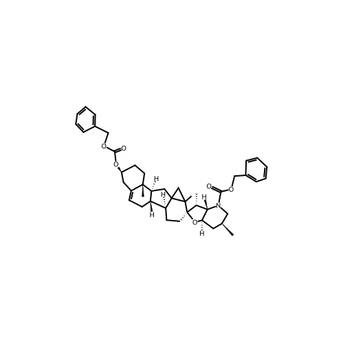 C[C@H]1C[C@H]2O[C@]3(CC[C@H]4[C@@H]5CC=C6C[C@@H](OC(=O)OCc7ccccc7)CC[C@]6(C)[C@H]5CC45CC53C)[C@H](C)[C@@H]2N(C(=O)OCc2ccccc2)C1